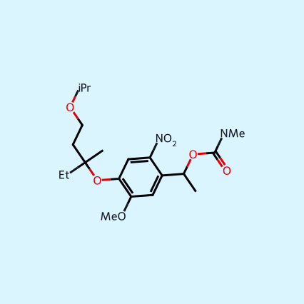 CCC(C)(CCOC(C)C)Oc1cc([N+](=O)[O-])c(C(C)OC(=O)NC)cc1OC